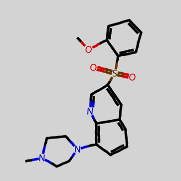 COc1ccccc1S(=O)(=O)c1cnc2c(N3CCN(C)CC3)cccc2c1